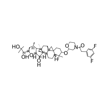 C[C@@H]1C[C@H]([C@H](O)C(C)(C)O)O[C@H]2C1[C@@]1(C)CC[C@@]34CC35CCC(OC3CN(C(=O)Cc6cc(F)cc(F)c6)CCO3)C(C)(C)[C@@H]5CC[C@H]4[C@]1(C)[C@H]2O